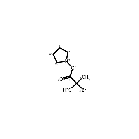 CC(C)(Br)C(=O)ON1CCCC1